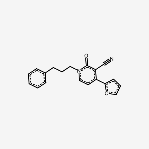 N#Cc1c(-c2ccco2)ccn(CCCc2ccccc2)c1=O